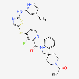 CCCC(=O)N1CCC(CNC(=O)c2nccc(Sc3cnc(Nc4cc(C)ccn4)s3)c2F)(c2ccccc2)CC1